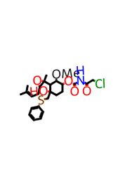 COC1C(OC(=O)NC(=O)CCl)CCC(O)(CSc2ccccc2)C1C1(C)OC1CC=C(C)C